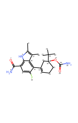 Cc1[nH]c2c(C(N)=O)cc(F)c(C3=CCC[C@@](OC(N)=O)(C(C)(C)C)C3)c2c1C